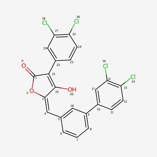 O=C1OC(=Cc2cccc(-c3ccc(Cl)c(Cl)c3)c2)C(O)=C1c1ccc(Cl)c(Cl)c1